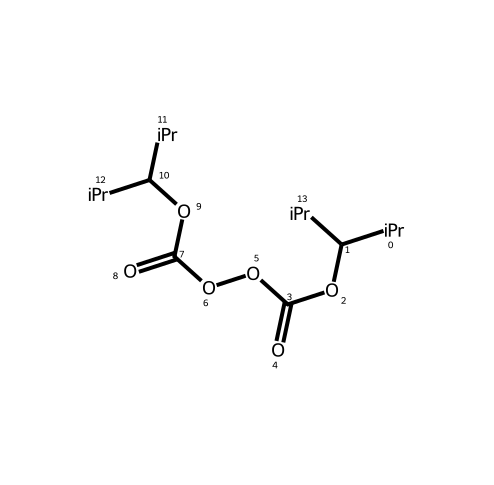 CC(C)C(OC(=O)OOC(=O)OC(C(C)C)C(C)C)C(C)C